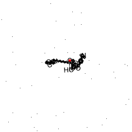 Cc1ncsc1-c1ccc(CNC(=O)[C@@H]2C[C@@H](O)CN2C(=O)[C@@H](NC(=O)CCCCCCCCN2CCN(C(=O)OC(C)(C)C)CC2)C(C)(C)C)cc1